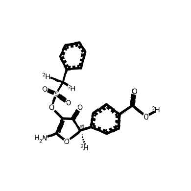 [2H]OC(=O)c1ccc([C@@]2([2H])OC(N)=C(OS(=O)(=O)C([2H])([2H])c3ccccc3)C2=O)cc1